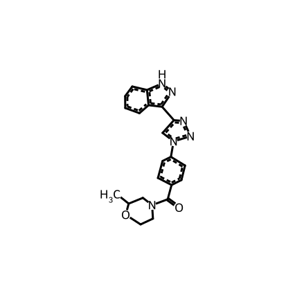 CC1CN(C(=O)c2ccc(-n3cc(-c4n[nH]c5ccccc45)nn3)cc2)CCO1